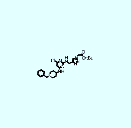 CC(C)(C)OC(=O)Cn1cc(CNc2nc(Cl)cc(NC3CCN(Cc4ccccc4)CC3)n2)nn1